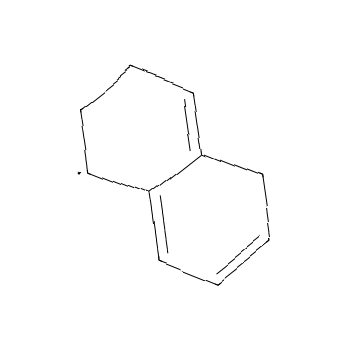 [CH]1CCC=C2CC=CC=C12